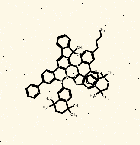 CCCCc1ccc(N2c3c4c(cc5c3C(C)(C)c3ccccc3-5)-c3ccc(-c5ccccc5)cc3N(c3ccc5c(c3)C(C)(C)CCC5(C)C)B4c3sc4cc5c(cc4c32)C(C)(C)CCC5(C)C)c(-c2ccccc2)c1